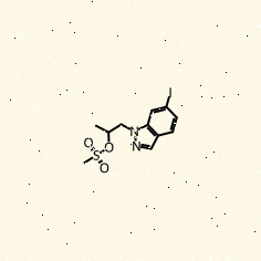 CC(Cn1ncc2ccc(I)cc21)OS(C)(=O)=O